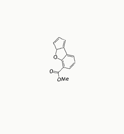 COC(=O)c1cccc2c1OC1C=CC=C21